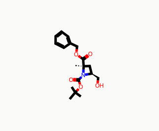 CC(C)(C)OC(=O)N1[C@H](CO)C[C@]1(C)C(=O)OCc1ccccc1